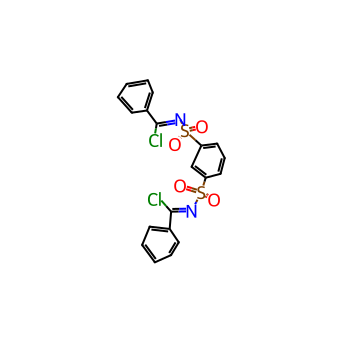 O=S(=O)(N=C(Cl)c1ccccc1)c1cccc(S(=O)(=O)N=C(Cl)c2ccccc2)c1